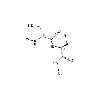 CCNC(=O)[C@H](CS)NC(=O)[C@@H](CS)NCC